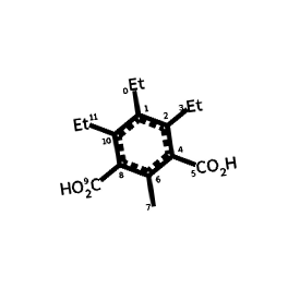 CCc1c(CC)c(C(=O)O)c(C)c(C(=O)O)c1CC